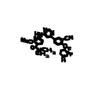 COc1nc(Nc2cc(-c3ccc(OC4CCNCC4(F)F)c(C#N)c3)ncn2)ccc1C(=O)N(C)C